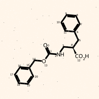 O=C(NC[C@@H](Cc1ccccc1)C(=O)O)OCc1ccccc1